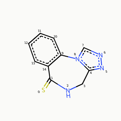 S=C1NCc2nncn2-c2ccccc21